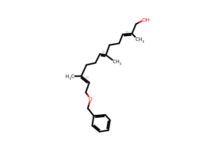 C/C(=C\CC/C(C)=C/CC/C(C)=C/COCc1ccccc1)CO